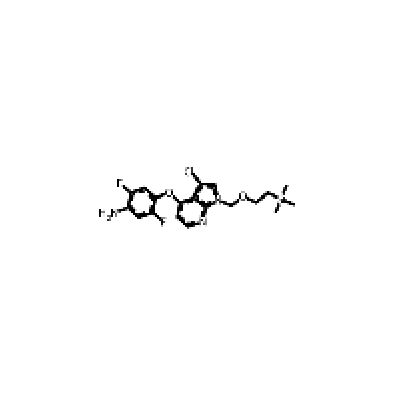 C[Si](C)(C)CCOCn1cc(Cl)c2c(Oc3cc(F)c(N)cc3F)ccnc21